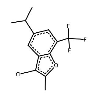 Cc1oc2c(C(F)(F)F)cc(C(C)C)cc2c1Cl